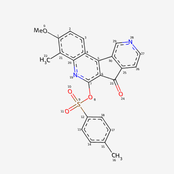 COc1ccc2c3c(c(OS(=O)(=O)c4ccc(C)cc4)nc2c1C)C(=O)c1ccncc1-3